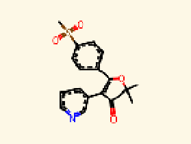 CC1(C)OC(c2ccc(S(C)(=O)=O)cc2)=C(c2cccnc2)C1=O